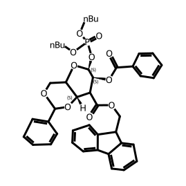 CCCCOP(=O)(OCCCC)O[C@@H]1OC2COC(c3ccccc3)O[C@H]2C(C(=O)OCC2c3ccccc3-c3ccccc32)[C@@H]1OC(=O)c1ccccc1